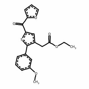 CCOC(=O)Cc1cc(C(=O)c2ccco2)sc1-c1cccc(OC)c1